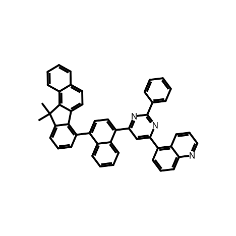 CC1(C)c2cccc(-c3ccc(-c4cc(-c5cccc6ncccc56)nc(-c5ccccc5)n4)c4ccccc34)c2-c2ccc3ccccc3c21